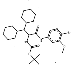 COc1cc(NC(=O)C(NC(=O)OC(C)(C)C)C(C2CCCCC2)C2CCCCC2)cnc1Br